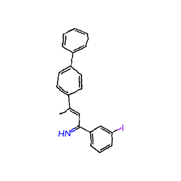 C/C(=C\C(=N)c1cccc(I)c1)c1ccc(-c2ccccc2)cc1